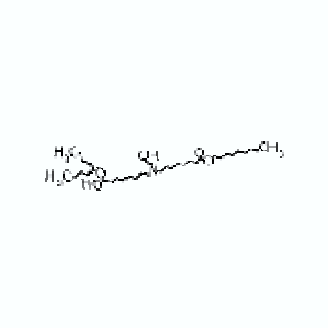 CCCCCCCCCOC(=O)CCCCCCCN(CCO)CCCCCCCC(O)OC(CCCC)CCCC